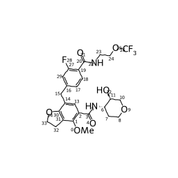 COc1c(C(=O)N[C@H]2CCOC[C@@H]2O)cc(Cc2ccc(C(=O)NCCOC(F)(F)F)c(F)c2)c2c1CCO2